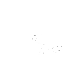 O=C(O[C@H]1CCN(C(=O)c2cc(C(F)(F)F)cc(C(F)(F)F)c2)[C@H](Cc2ccccc2)C1)c1cnc2ccccc2c1